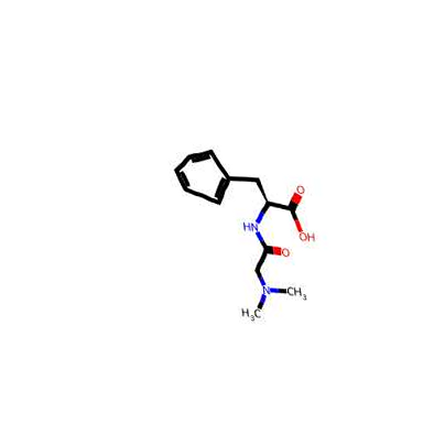 CN(C)CC(=O)N[C@@H](Cc1ccccc1)C(=O)O